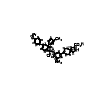 Cc1ccn(C2(F)CC(c3ccc(OC(C)C)cc3)=CC=C2[C@@H](Oc2cc(N3CCC4(CC3)CN[C@H](C(=O)O)C4)nc(N)n2)C(F)(F)F)n1